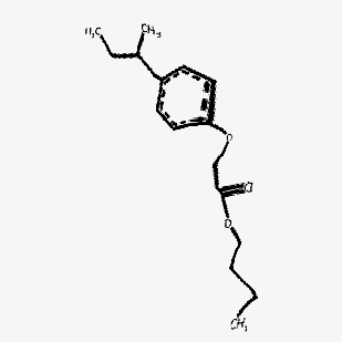 CCCCOC(=O)COc1ccc(C(C)CC)cc1